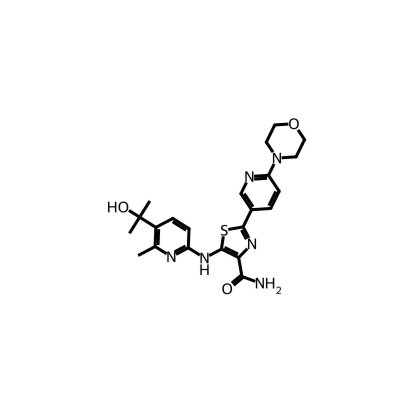 Cc1nc(Nc2sc(-c3ccc(N4CCOCC4)nc3)nc2C(N)=O)ccc1C(C)(C)O